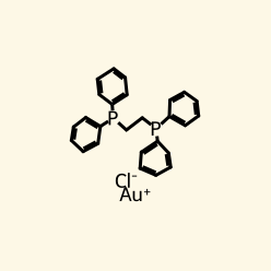 [Au+].[Cl-].c1ccc(P(CCP(c2ccccc2)c2ccccc2)c2ccccc2)cc1